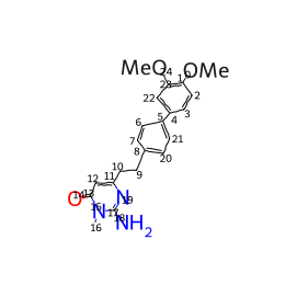 COc1ccc(-c2ccc(CCc3cc(=O)n(C)c(N)n3)cc2)cc1OC